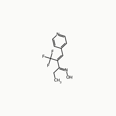 CCC(=NO)C(=Cc1ccncc1)C(F)(F)F